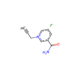 C#CC[n+]1cccc(C(N)=O)c1.[F-]